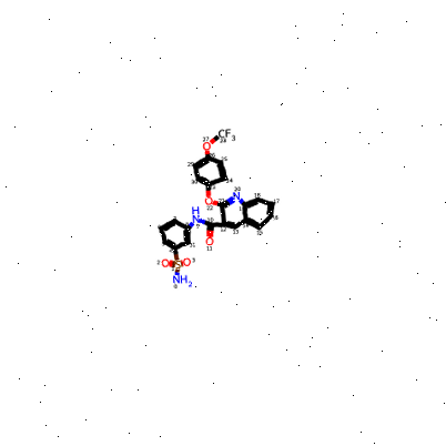 NS(=O)(=O)c1cccc(NC(=O)c2cc3ccccc3nc2Oc2ccc(OC(F)(F)F)cc2)c1